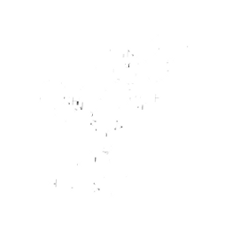 Fc1cc(F)c2scnc2c1-c1c(C(F)(F)F)cc2c(N3CC4CCC(C3)N4)nc(OC[C@@]34CCCN3C[C@H](F)C4)nc2c1Cl